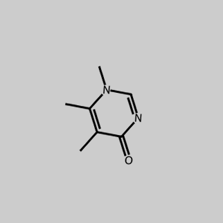 Cc1c(C)n(C)cnc1=O